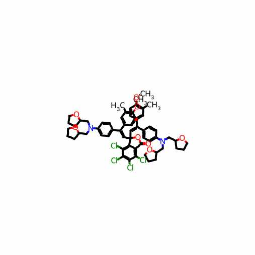 COc1ccc(C(=CC2(C=C(c3ccc(N(CC4CCCO4)CC4CCCO4)cc3)c3ccc(OC)c(C)c3)OC(=O)c3c(Cl)c(Cl)c(Cl)c(Cl)c32)c2ccc(N(CC3CCCO3)CC3CCCO3)cc2)cc1C